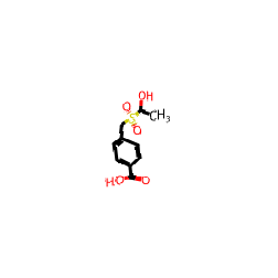 CC(O)S(=O)(=O)Cc1ccc(C(=O)O)cc1